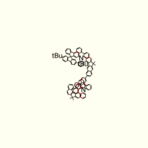 CC(C)(C)c1ccc2c(c1)C1(c3ccccc3-c3ccc(N(c4ccccc4-c4ccccc4)c4ccccc4-c4cccc5c4-c4cc6cc(-c7ccc8c(ccc9c8oc8cccc(-c%10ccccc%10N(c%10ccccc%10-c%10ccccc%10)c%10ccccc%10-c%10cccc%11c%10-c%10c(ccc%12ccccc%10%12)C%11(C)C)c89)c7)ccc6cc4C5(C)C)cc31)c1cc(C(C)(C)C)ccc1-2